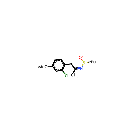 COc1ccc(C/C(C)=N\[S+]([O-])C(C)(C)C)c(Cl)c1